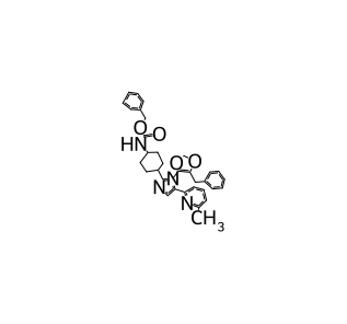 Cc1cccc(-c2cnc(C3CCC(NC(=O)OCc4ccccc4)CC3)n2C2=C(Cc3ccccc3)OCO2)n1